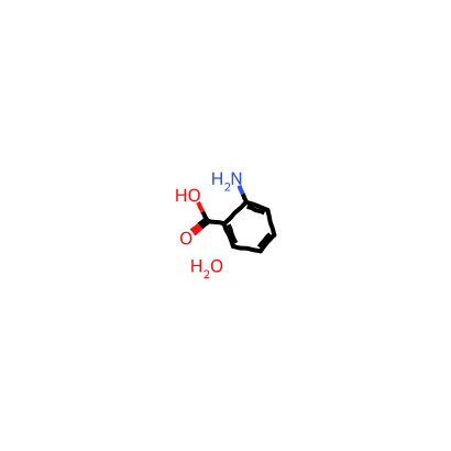 Nc1ccccc1C(=O)O.O